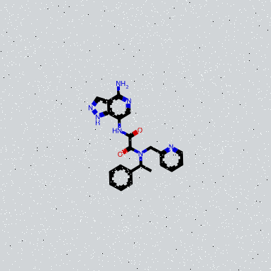 CC(c1ccccc1)N(Cc1ccccn1)C(=O)C(=O)Nc1cnc(N)c2cn[nH]c12